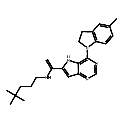 C=C(NCCCC(C)(C)C)c1cc2ncnc(N3CCc4cc(C)ccc43)c2[nH]1